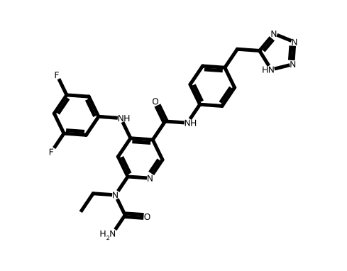 CCN(C(N)=O)c1cc(Nc2cc(F)cc(F)c2)c(C(=O)Nc2ccc(Cc3nnn[nH]3)cc2)cn1